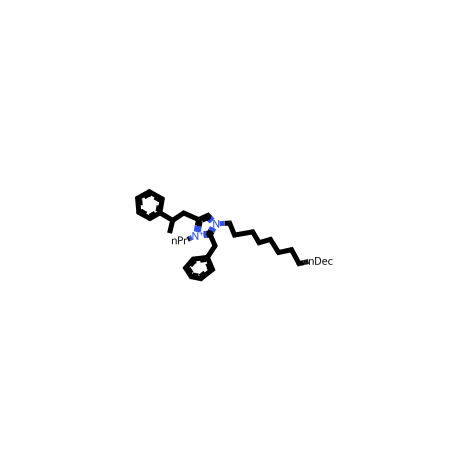 CCCCCCCCCCCCCCCCCCn1cc(CC(C)c2ccccc2)[n+](CCC)c1Cc1ccccc1